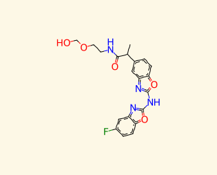 CC(C(=O)NCCOCO)c1ccc2oc(Nc3nc4cc(F)ccc4o3)nc2c1